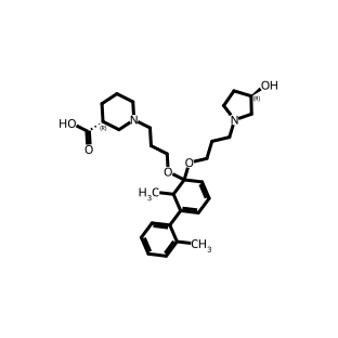 Cc1ccccc1C1=CC=CC(OCCCN2CC[C@@H](O)C2)(OCCCN2CCC[C@@H](C(=O)O)C2)C1C